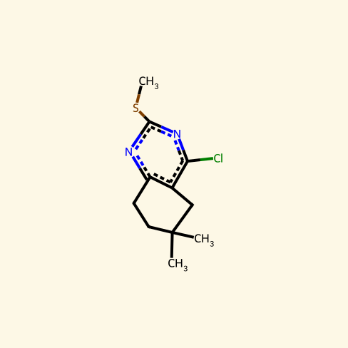 CSc1nc(Cl)c2c(n1)CCC(C)(C)C2